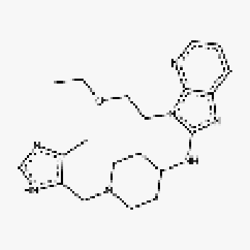 CCOCCn1c(NC2CCN(Cc3[nH]cnc3C)CC2)nc2cccnc21